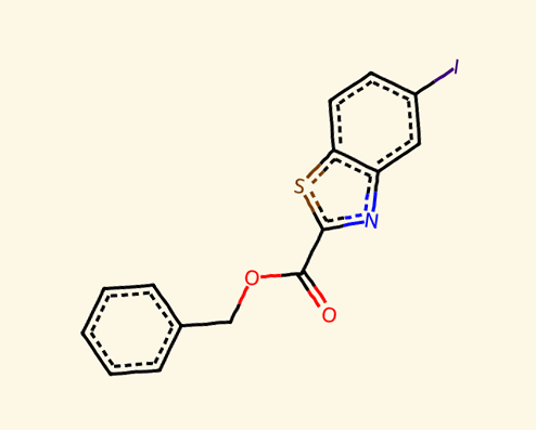 O=C(OCc1ccccc1)c1nc2cc(I)ccc2s1